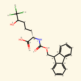 O=C(N[C@@H](CCCC(O)C(F)(F)F)C(=O)O)OCC1c2ccccc2-c2ccccc21